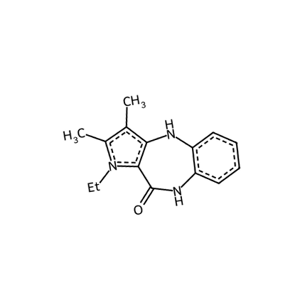 CCn1c(C)c(C)c2c1C(=O)Nc1ccccc1N2